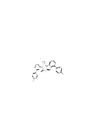 Cc1ccc(-c2cccc3c2C=C(C(C)C)[CH]3[Hf+2]2([CH]3C(C(C)C)=Cc4c(-c5ccc(C)cc5)cccc43)[CH2][CH2]2)cc1.[Cl-].[Cl-]